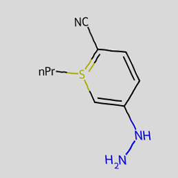 CCCS1=C(C#N)C=CC(NN)=C1